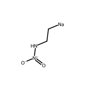 O=[N+]([O-])NC[CH2][Na]